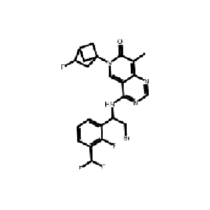 Cc1c(=O)n(C23CC(F)C(C2)C3)cc2c(NC(CBr)c3cccc(C(F)F)c3F)ncnc12